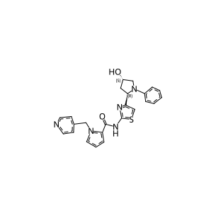 O=C(Nc1nc([C@H]2C[C@H](O)CN2c2ccccc2)cs1)c1cccn1Cc1ccncc1